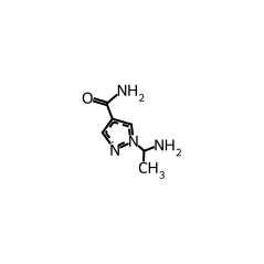 CC(N)n1cc(C(N)=O)cn1